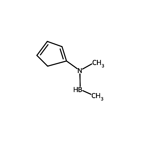 CBN(C)C1=CC=CC1